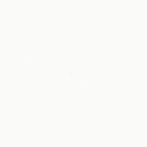 CC(=O)CCCCN1C(=O)O[C@](C#CC2CC2)(C(F)(F)F)c2cc(Cl)ccc21